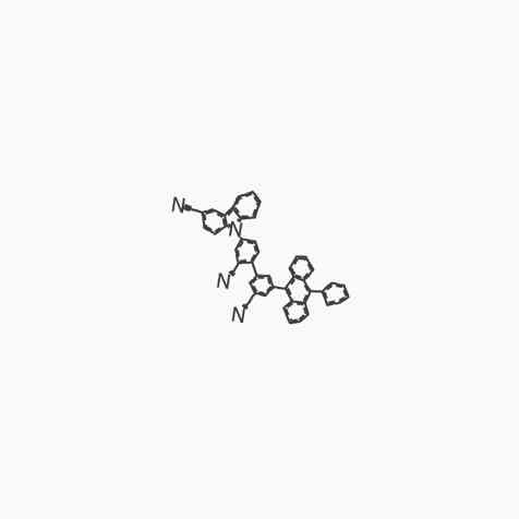 N#Cc1cc(-c2ccc(-n3c4ccccc4c4cc(C#N)ccc43)cc2C#N)cc(-c2c3ccccc3c(-c3ccccc3)c3ccccc23)c1